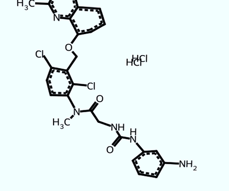 Cc1ccc2cccc(OCc3c(Cl)ccc(N(C)C(=O)CNC(=O)Nc4cccc(N)c4)c3Cl)c2n1.Cl.Cl